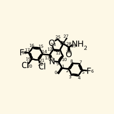 C=C(c1ccc(F)cc1)c1cc2c(c(-c3ccc(F)c(Cl)c3Cl)n1)OC[C@]2(C)C(N)=O